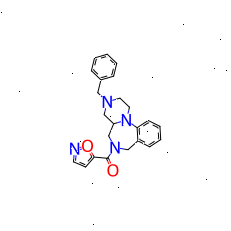 O=C(c1ccno1)N1Cc2ccccc2N2CCN(Cc3ccccc3)CC2C1